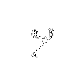 C=CC(=O)OC(CCCCCCCCC)C[n+]1ccn(C)c1.F[P-](F)(F)(F)(F)F